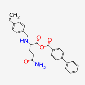 C=Cc1ccc(CN[C@@H](CCC(N)=O)C(=O)OC(=O)c2ccc(-c3ccccc3)cc2)cc1